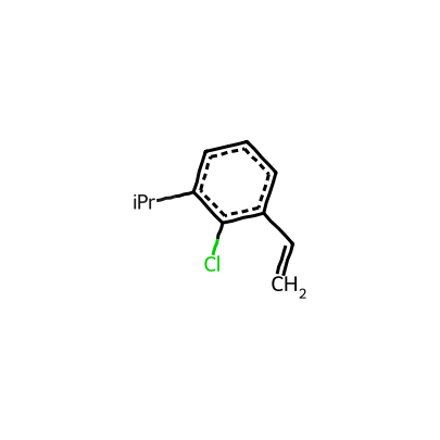 [CH2]C(C)c1cccc(C=C)c1Cl